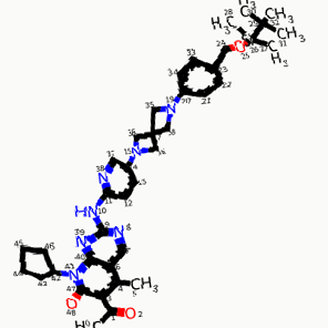 CC(=O)c1c(C)c2cnc(Nc3ccc(N4CC5(CN(c6ccc(CO[Si](C)(C)C(C)(C)C)cc6)C5)C4)cn3)nc2n(C2CCCC2)c1=O